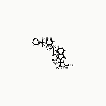 BC(CCC=O)(C(=O)NC)N1C(=O)c2cccc(NC(O)(O)c3cccc(C(B)(B)N4CCOCC4)c3)c2C1(B)O